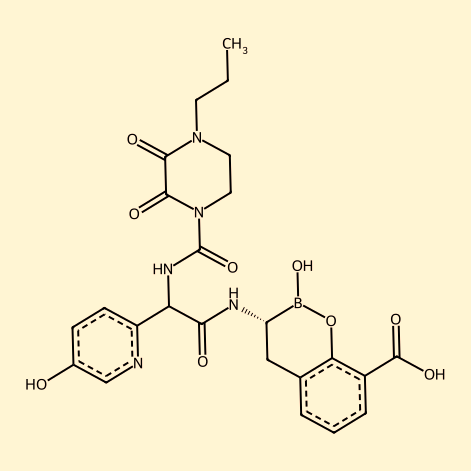 CCCN1CCN(C(=O)NC(C(=O)N[C@H]2Cc3cccc(C(=O)O)c3OB2O)c2ccc(O)cn2)C(=O)C1=O